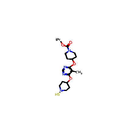 Cc1c(OC2CCN(S)CC2)ncnc1OC1CCN(C(=O)OC(C)C)CC1